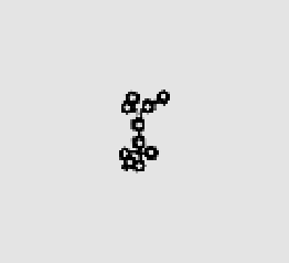 CC1(C)c2cccc3c2-c2c1cccc2C3(c1ccccc1)c1ccc(-c2ccc(N(c3ccc(-c4ccccc4)cc3)c3cccc4ccccc34)cc2)cc1